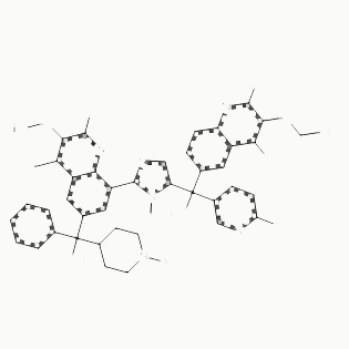 CC(=O)N1CCC(C(O)(c2ccccc2)c2cc(-c3ncc(C(O)(c4ccc(C(F)(F)F)nc4)c4ccc5nc(Cl)c(OCC(F)(F)F)c(Cl)c5c4)n3C)c3nc(Cl)c(OC(C)C)c(Cl)c3c2)CC1